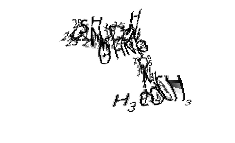 CC1CN(c2ccc(C(=O)Nc3n[nH]c4ccc(C(=O)NCc5cccs5)cc34)cc2)CC(C)O1